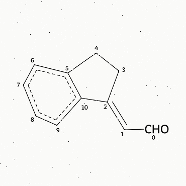 O=C/C=C1\CCc2ccccc21